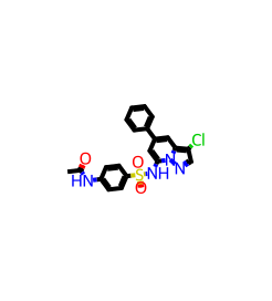 CC(=O)Nc1ccc(S(=O)(=O)Nc2cc(-c3ccccc3)cc3c(Cl)cnn23)cc1